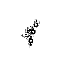 CC(C)C(NC(=O)C(F)(F)F)[C@H](Oc1ccc2c(cnn2-c2ccc(=O)n(C)c2)c1)c1ccc(C(F)(F)F)cc1